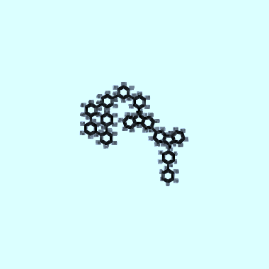 c1ccc(-c2ccc(-n3c4ccccc4c4cc(-c5ccc6c(c5)c5ccccc5n6-c5cccc(-c6cccc(-c7ccc(-c8cccc(-c9cccc(-c%10ccccc%10-c%10ccccc%10)c9)c8)cc7)c6)c5)ccc43)cc2)cc1